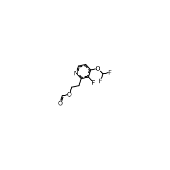 O=COCCc1nccc(OC(F)F)c1F